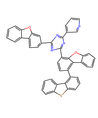 c1cncc(-c2nc(-c3ccc4c(c3)oc3ccccc34)nc(-c3ccc(-c4cccc5sc6ccccc6c45)c4c3oc3ccccc34)n2)c1